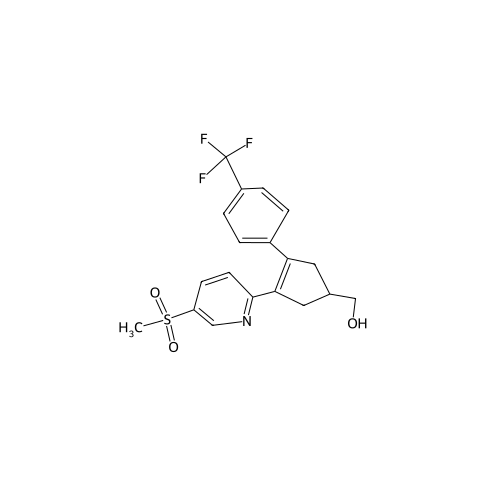 CS(=O)(=O)c1ccc(C2=C(c3ccc(C(F)(F)F)cc3)CC(CO)C2)nc1